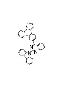 c1ccc2c(-c3ccc4c5ccccc5c5ccccc5c4c3)nc(-n3c4ccccc4c4ccccc43)nc2c1